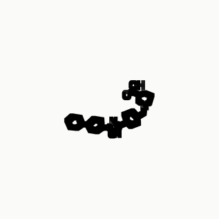 O=C(O)C1CCCN(Cc2ccc(-c3noc(-c4ccc(C5=CC=CCC5)cc4)n3)cc2)C1